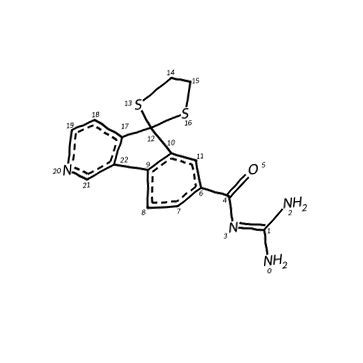 NC(N)=NC(=O)c1ccc2c(c1)C1(SCCS1)c1ccncc1-2